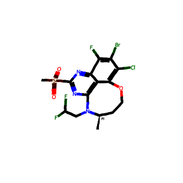 C[C@@H]1CCOc2c(Cl)c(Br)c(F)c3nc(S(C)(=O)=O)nc(c23)N1CC(F)F